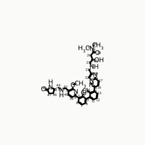 COc1nc(-c2cccc(-c3cccc(-c4ccc5nc(CNC[C@@H](O)CC(=O)N(C)C)cn5n4)c3Cl)c2Cl)ccc1CNC[C@@H]1CCC(=O)N1